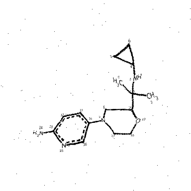 CC(C)(NC1CC1)C1CN(c2ccc(N)nc2)CCO1